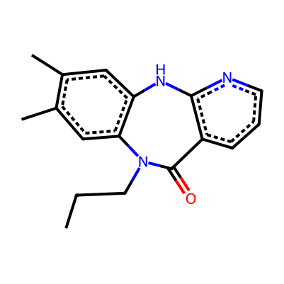 CCCN1C(=O)c2cccnc2Nc2cc(C)c(C)cc21